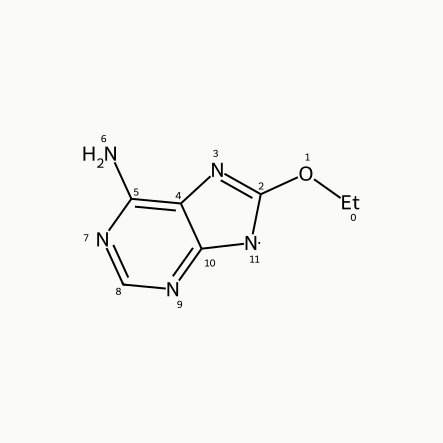 CCOC1=Nc2c(N)ncnc2[N]1